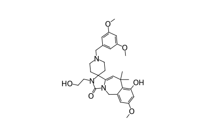 COc1cc(CN2CCC3(CC2)C2=CC(C)(C)c4c(O)cc(OC)cc4CN2C(=O)N3CCO)cc(OC)c1